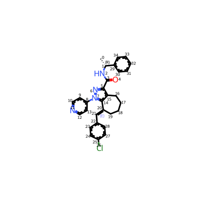 C[C@@H](NC(=O)c1nn(-c2ccncc2)c2c1CCCC/C2=C\c1ccc(Cl)cc1)c1ccccc1